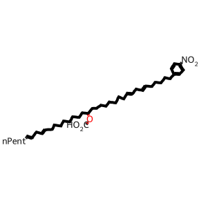 CCCCCC=CCC=CCCCCCCCCC(CCCCCCCCC=CCC=CCCCCCc1ccc([N+](=O)[O-])cc1)OC(=O)O